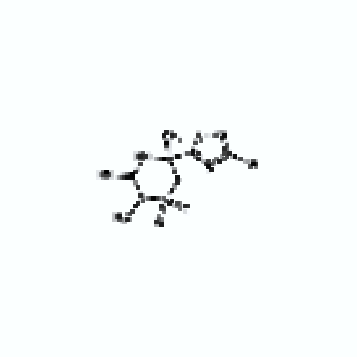 CN1C(=N)N[C@](C)(c2ccc(Br)s2)CS1(=O)=O